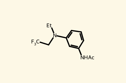 CCN(CC(F)(F)F)c1cccc(NC(C)=O)c1